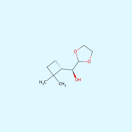 CC1(C)CC[C@@H]1[C@H](O)C1OCCO1